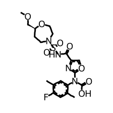 COC[C@@H]1CCN(S(=O)(=O)NC(=O)c2coc(N(C(=O)O)c3cc(C)c(F)cc3C)n2)CCO1